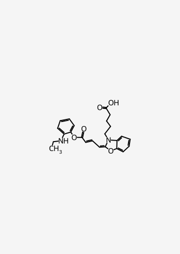 CCNc1ccccc1OC(=O)/C=C/C=C1/Oc2ccccc2N1CCCCC(=O)O